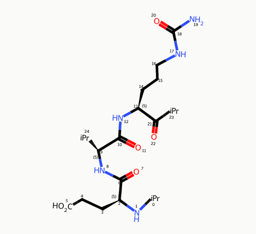 CC(C)N[C@@H](CCC(=O)O)C(=O)N[C@H](C(=O)N[C@@H](CCCNC(N)=O)C(=O)C(C)C)C(C)C